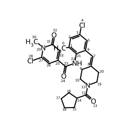 Cc1cc(Cl)cc(C=C2CCN(C(=O)C3CCCC3)CC2)c1NC(=O)c1cc(Cl)n(C)c(=O)c1